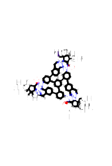 CCC1(C)c2c(c(=O)nc3c4ccc(-c5ccccc5-c5cc(-c6ccccc6-c6ccc7c(ccn8c9c(c(=O)nc78)C(C)C(C)(C)C9(C)CC)c6)cc(-c6ccccc6-c6ccc7c(ccn8c9c(c(=O)nc78)C(C)C(C)(C)C9(C)CI)c6)c5)cc4ccn23)C(C)C1(C)C